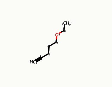 C#CCCCOC[CH2]